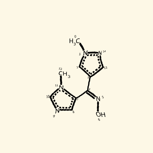 Cn1cc(/C(=N/O)c2cncn2C)cn1